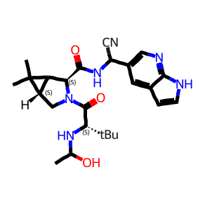 CC(O)N[C@H](C(=O)N1C[C@H]2C([C@H]1C(=O)NC(C#N)c1cnc3[nH]ccc3c1)C2(C)C)C(C)(C)C